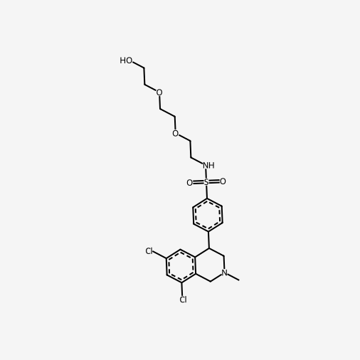 CN1Cc2c(Cl)cc(Cl)cc2C(c2ccc(S(=O)(=O)NCCOCCOCCO)cc2)C1